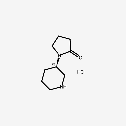 Cl.O=C1CCCN1[C@@H]1CCCNC1